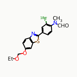 CCOCOc1ccc2nc(-c3ccc(N(C)C=O)c([18F])c3)sc2c1